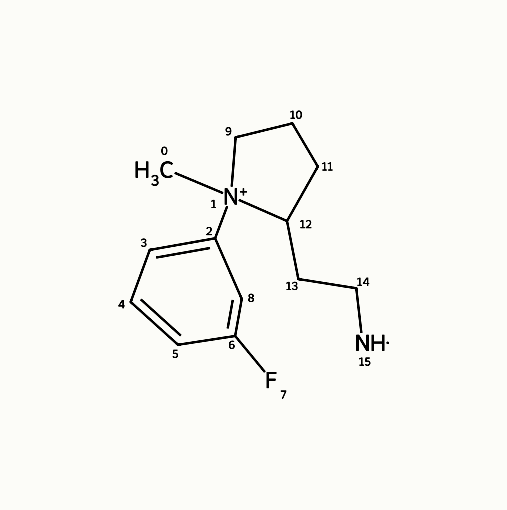 C[N+]1(c2cccc(F)c2)CCCC1CC[NH]